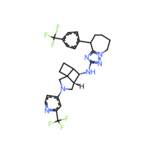 FC(F)(F)c1ccc(C2CCCCn3nc(N[C@@H]4C5CCC56CN(c5ccnc(C(F)(F)F)c5)C[C@@H]46)nc32)cc1